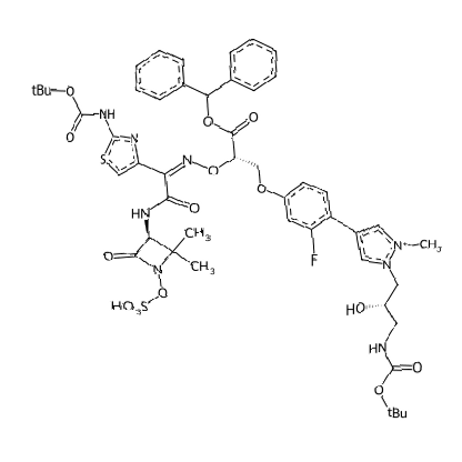 C[n+]1cc(-c2ccc(OC[C@H](O/N=C(\C(=O)N[C@@H]3C(=O)N(OS(=O)(=O)O)C3(C)C)c3csc(NC(=O)OC(C)(C)C)n3)C(=O)OC(c3ccccc3)c3ccccc3)cc2F)cn1C[C@@H](O)CNC(=O)OC(C)(C)C